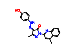 CC1=NN(c2cc(C)c3ccccc3n2)C(=O)/C1=N\Nc1ccc(O)cc1